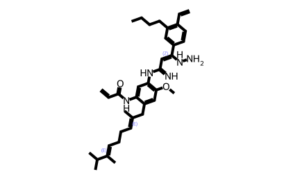 C=CC(=O)Nc1cc(NC(=N)/C=C(\NN)c2ccc(C=C)c(CCCC)c2)c(OC)cc1C/C(C)=C/CC/C=C(\C)C(C)C